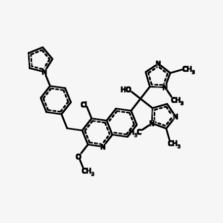 COc1nc2ccc(C(O)(c3cnc(C)n3C)c3cnc(C)n3C)cc2c(Cl)c1Cc1ccc(-n2cccc2)cc1